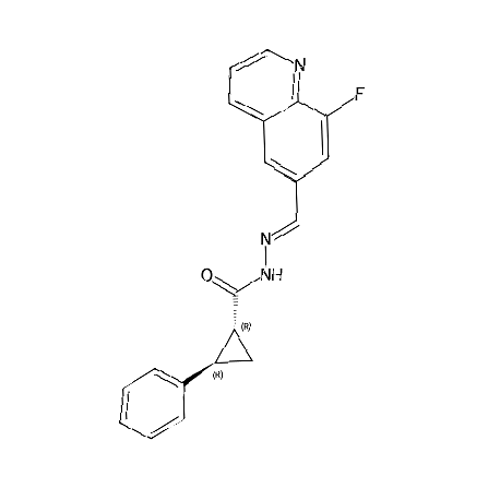 O=C(NN=Cc1cc(F)c2ncccc2c1)[C@@H]1C[C@H]1c1ccccc1